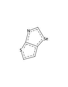 c1cc2[se]cnc2s1